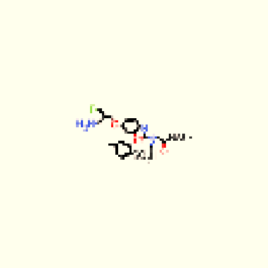 CNC(=O)CN(C)c1nc2ccc(OCC(=CF)CN)cc2o1.Cc1ccc(S(=O)(=O)O)cc1